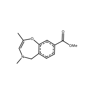 COC(=O)c1ccc2c(c1)OC(C)=CN(C)C2